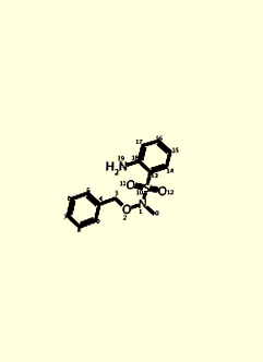 CN(OCc1ccccc1)S(=O)(=O)c1ccccc1N